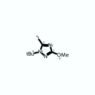 COc1nc(I)n(C(C)(C)C)n1